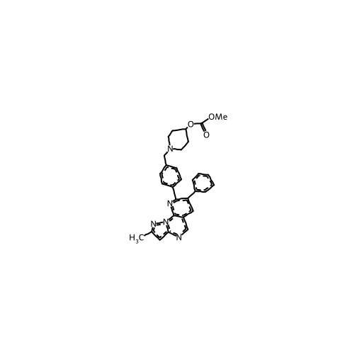 COC(=O)OC1CCN(Cc2ccc(-c3nc4c(cnc5cc(C)nn54)cc3-c3ccccc3)cc2)CC1